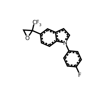 Fc1ccc(-n2ccc3cc(C4(C(F)(F)F)CO4)ccc32)cc1